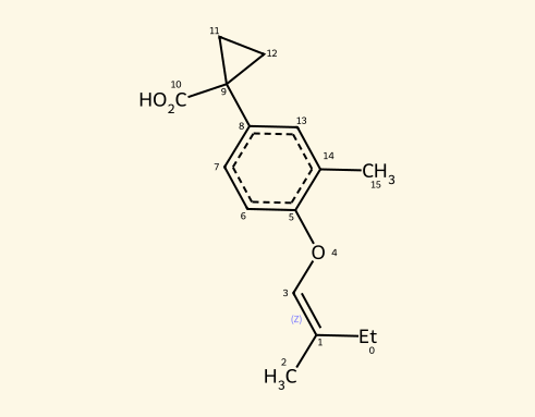 CC/C(C)=C\Oc1ccc(C2(C(=O)O)CC2)cc1C